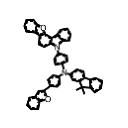 CC1(C)c2ccccc2-c2ccc(N(c3ccc(-c4cc5ccccc5o4)cc3)c3ccc(-n4c5ccccc5c5c6oc7ccccc7c6ccc54)cc3)cc21